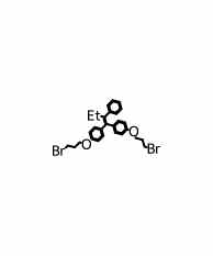 CCC(=C(c1ccc(OCCCBr)cc1)c1ccc(OCCCBr)cc1)c1ccccc1